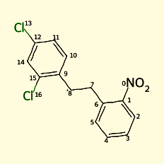 O=[N+]([O-])c1ccccc1C[CH]c1ccc(Cl)cc1Cl